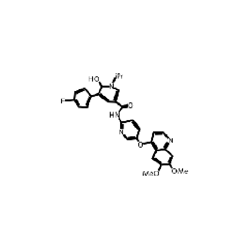 COc1cc2nccc(Oc3ccc(NC(=O)C4=CN(C(C)C)C(O)C(c5ccc(F)cc5)=C4)nc3)c2cc1OC